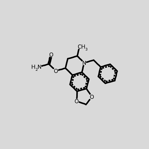 CC1CC(OC(N)=O)c2cc3c(cc2N1Cc1ccccc1)OCO3